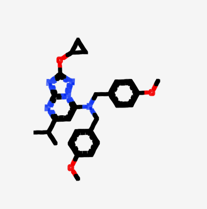 COc1ccc(CN(Cc2ccc(OC)cc2)c2cc(C(C)C)nc3nc(OC4CC4)nn23)cc1